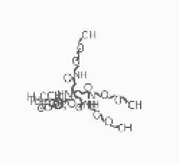 C#CCOCCOCCNC(=O)CCC(CCC(=O)NCCOCCOCC#C)(CCC(=O)NCCOCCOCC#C)NC(=O)C12CCC(OP(=O)(S)C(C)(C)C)(CC1)CC2